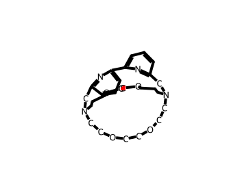 c1cc2nc(c1)-c1cccc(n1)CN1CCCOCCOCCCN(CCOCCOCC1)C2